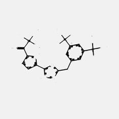 O=C(c1ccc(-c2nc(Cc3cc(C(F)(F)F)cc(C(F)(F)F)c3)no2)s1)C(F)(F)F